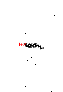 CCCCC[C@H]1CC[C@H](c2ccc(CCO)cc2)CC1